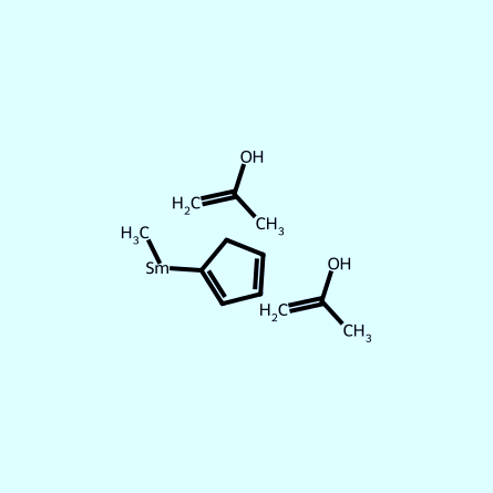 C=C(C)O.C=C(C)O.[CH3][Sm][C]1=CC=CC1